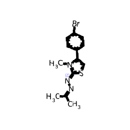 CC(C)=N/N=c1\scc(-c2ccc(Br)cc2)n1C